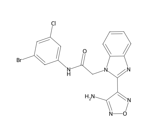 Nc1nonc1-c1nc2ccccc2n1CC(=O)Nc1cc(Cl)cc(Br)c1